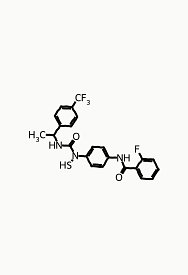 CC(NC(=O)N(S)c1ccc(NC(=O)c2ccccc2F)cc1)c1ccc(C(F)(F)F)cc1